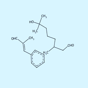 C/C(C=O)=C\c1ccccc1.CC(CC=O)CCCC(C)(C)O